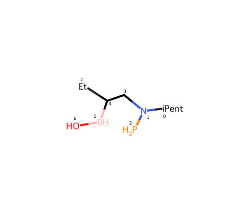 CCCC(C)N(P)CC(BO)CC